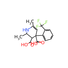 CC1=CC(C(=O)O)(c2ccccc2C(F)(F)F)C(C(=O)O)C(C)N1